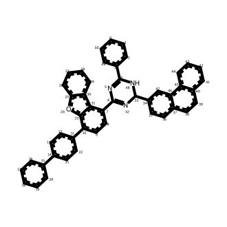 c1ccc(C2=NC(c3ccc(-c4ccc(-c5ccccc5)cc4)c4oc5ccccc5c34)=NC(c3ccc4ccc5ccccc5c4c3)N2)cc1